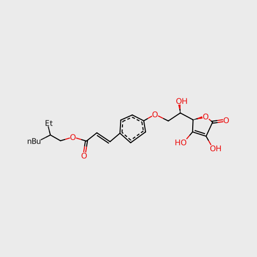 CCCCC(CC)COC(=O)/C=C/c1ccc(OC[C@@H](O)[C@H]2OC(=O)C(O)=C2O)cc1